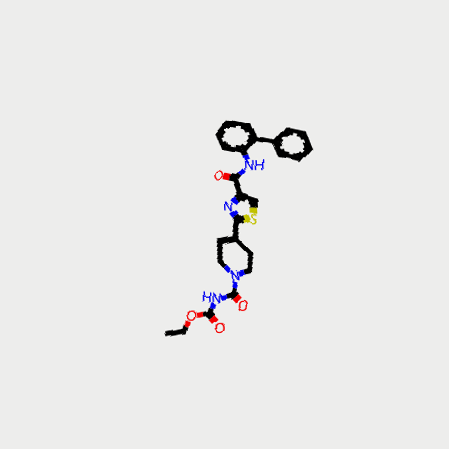 CCOC(=O)NC(=O)N1CCC(c2nc(C(=O)Nc3ccccc3-c3ccccc3)cs2)CC1